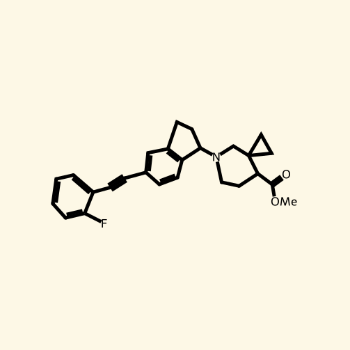 COC(=O)C1CCN(C2CCc3cc(C#Cc4ccccc4F)ccc32)CC12CC2